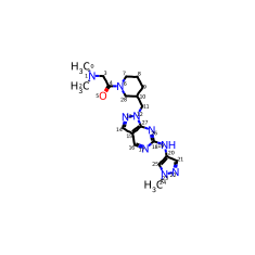 CN(C)CC(=O)N1CCCC(Cn2ncc3cnc(Nc4cnn(C)c4)nc32)C1